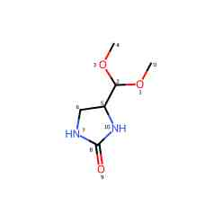 COC(OC)C1CNC(=O)N1